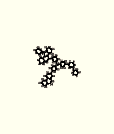 c1ccc(-c2cccc(-c3ccc(N(c4ccc(-c5ccc6c(ccc7ccccc76)c5)cc4)c4cccc(-c5cc6ccccc6c6c5c5ccccc5n6-c5ccccc5)c4)cc3)c2)cc1